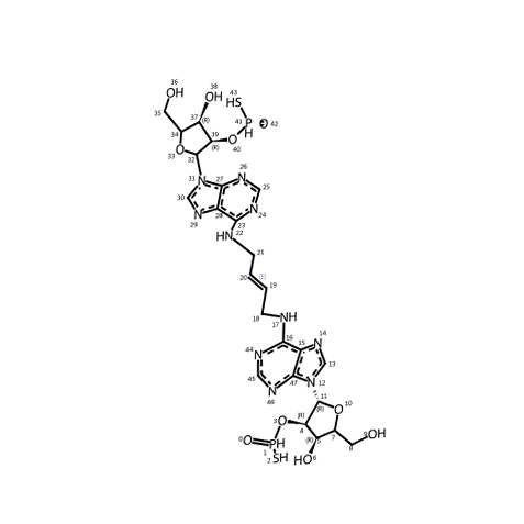 O=[PH](S)O[C@@H]1[C@H](O)C(CO)O[C@H]1n1cnc2c(NC/C=C/CNc3ncnc4c3ncn4C3OC(CO)[C@@H](O)[C@H]3O[PH](=O)S)ncnc21